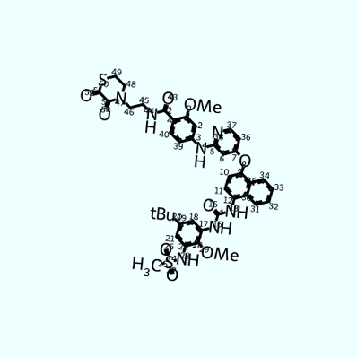 COc1cc(Nc2cc(Oc3ccc(NC(=O)Nc4cc(C(C)(C)C)cc(NS(C)(=O)=O)c4OC)c4ccccc34)ccn2)ccc1C(=O)NCCN1CCSC(=O)C1=O